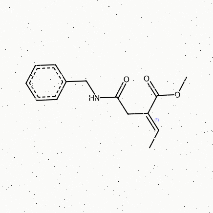 C/C=C(\CC(=O)NCc1ccccc1)C(=O)OC